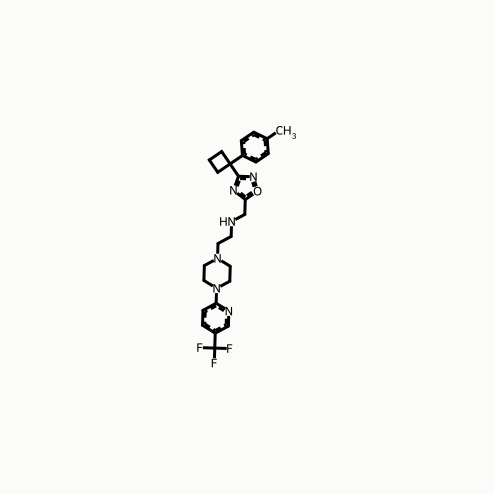 Cc1ccc(C2(c3noc(CNCCN4CCN(c5ccc(C(F)(F)F)cn5)CC4)n3)CCC2)cc1